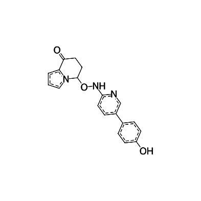 O=C1CCC(ONc2ccc(-c3ccc(O)cc3)cn2)n2cccc21